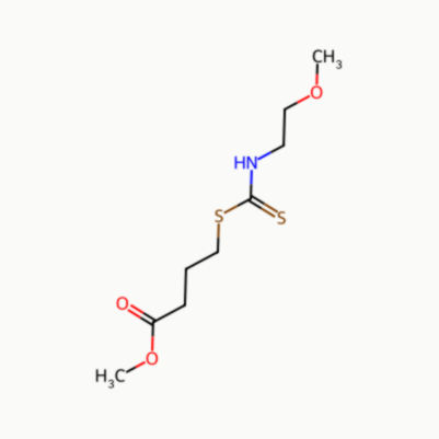 COCCNC(=S)SCCCC(=O)OC